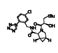 CC(C)(C)C[C@@H](O)C(=O)N1C[C@@H]2C[C@@H]2[C@H]1C(=O)NCc1cc(Cl)ccc1-n1cnnn1